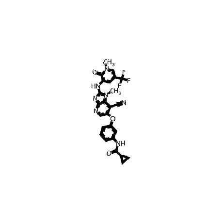 Cn1cc(C(F)(F)F)cc(Nc2nc3ncc(Oc4cccc(NC(=O)C5CC5)c4)c(C#N)c3n2C)c1=O